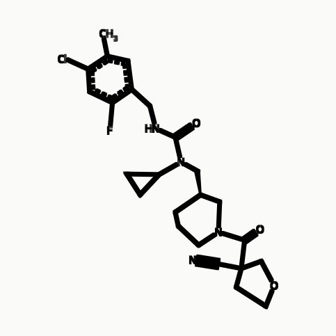 Cc1cc(CNC(=O)N(C[C@@H]2CCCN(C(=O)C3(C#N)CCOC3)C2)C2CC2)c(F)cc1Cl